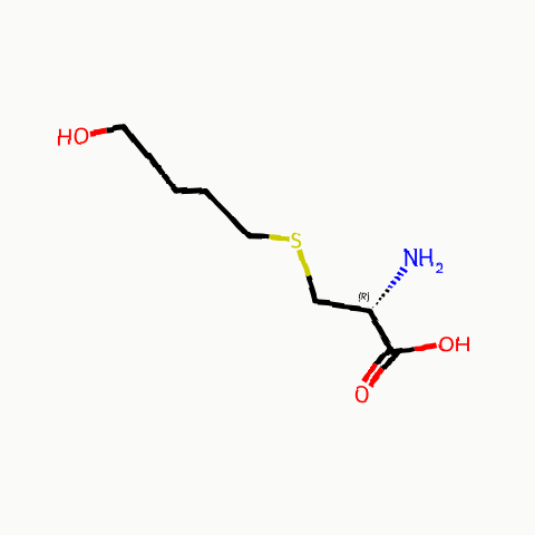 N[C@@H](CSCCCCO)C(=O)O